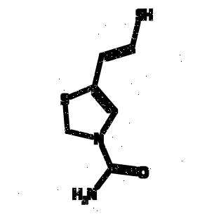 NC(=O)N1C=C(C=CS)SC1